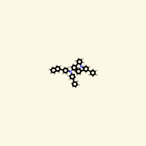 c1ccc(-c2ccc(N(c3ccc(-c4ccc5ccccc5c4)cc3)c3ccc(-c4ccccc4-n4c5ccccc5c5cc(-c6ccccc6)ccc54)cc3)cc2)cc1